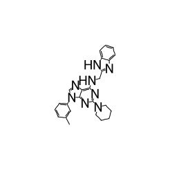 Cc1cccc(-n2cnc3c(NCc4nc5ccccc5[nH]4)nc(N4CCCCC4)nc32)c1